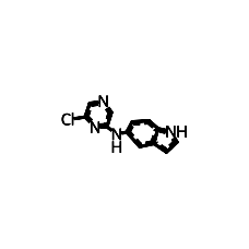 Clc1cncc(Nc2ccc3[nH]ccc3c2)n1